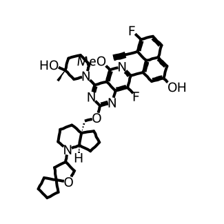 C#Cc1c(F)ccc2cc(O)cc(-c3nc(OC)c4c(N5CCC[C@@](C)(O)C5)nc(OC[C@]56CCC[C@H]5N(C5COC7(CCCC7)C5)CCC6)nc4c3F)c12